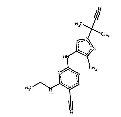 CCNc1nc(Nc2cn(C(C)(C)C#N)nc2C)ncc1C#N